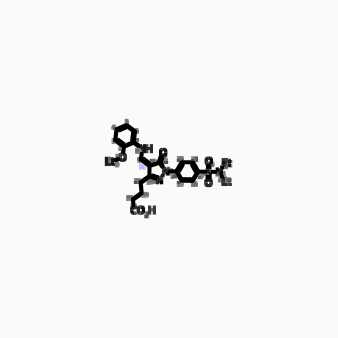 CCOc1ccccc1N/C=C1\C(=O)N(c2ccc(S(=O)(=O)N(CC)CC)cc2)N=C1CCCC(=O)O